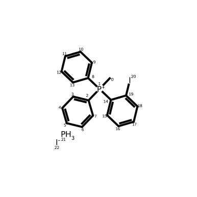 C[P+](c1ccccc1)(c1ccccc1)c1ccccc1I.P.[I-]